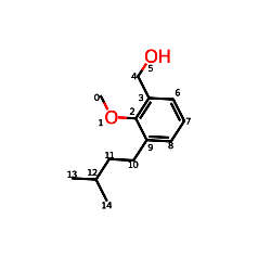 COc1c(CO)cccc1CCC(C)C